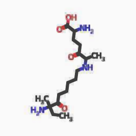 CCC(C)(N)C(=O)CCCCCNC(C)C(=O)CCC(N)C(=O)O